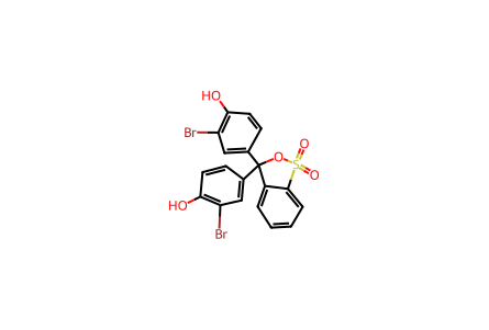 O=S1(=O)OC(c2ccc(O)c(Br)c2)(c2ccc(O)c(Br)c2)c2ccccc21